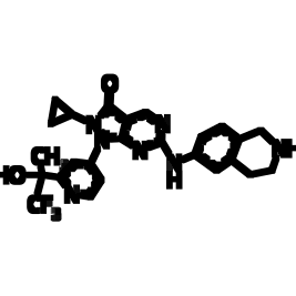 CC(O)(c1cc(-n2c3nc(Nc4ccc5c(c4)CCNC5)ncc3c(=O)n2C2CC2)ccn1)C(F)(F)F